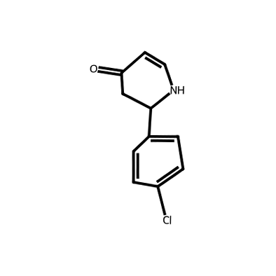 O=C1C=CNC(c2ccc(Cl)cc2)C1